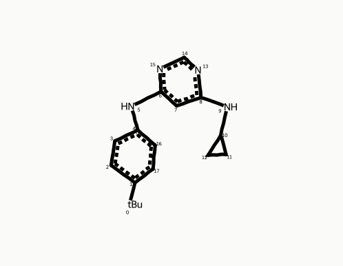 CC(C)(C)c1ccc(Nc2cc(NC3CC3)ncn2)cc1